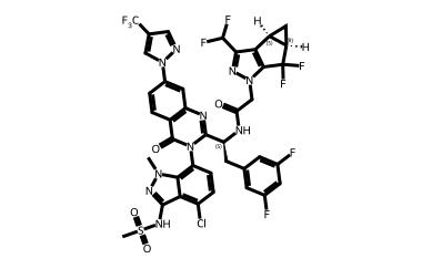 Cn1nc(NS(C)(=O)=O)c2c(Cl)ccc(-n3c([C@H](Cc4cc(F)cc(F)c4)NC(=O)Cn4nc(C(F)F)c5c4C(F)(F)[C@@H]4C[C@H]54)nc4cc(-n5cc(C(F)(F)F)cn5)ccc4c3=O)c21